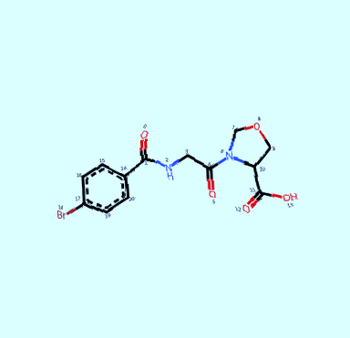 O=C(NCC(=O)N1COCC1C(=O)O)c1ccc(Br)cc1